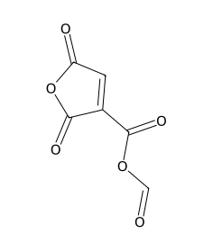 O=COC(=O)C1=CC(=O)OC1=O